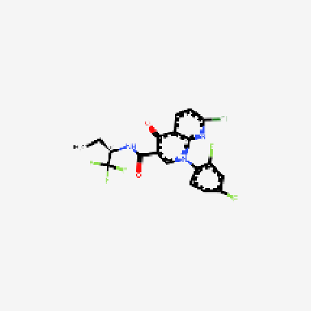 CC[C@@H](NC(=O)c1cn(-c2ccc(F)cc2F)c2nc(Cl)ccc2c1=O)C(F)(F)F